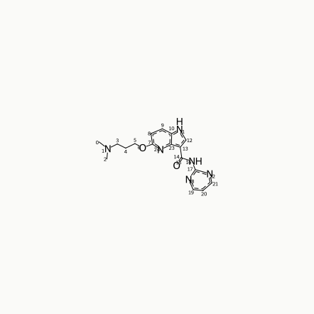 CN(C)CCCOc1ccc2[nH]cc(C(=O)Nc3ncccn3)c2n1